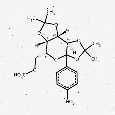 CC1(C)O[C@@H]2[C@H](O1)[C@H]1OC(C)(C)OC1(c1ccc([N+](=O)[O-])cc1)O[C@@H]2COC(=O)O